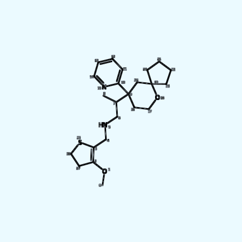 COC1=C(CNCC(C)C2(c3ccccn3)CCOC3(CCCC3)C2)SCC1